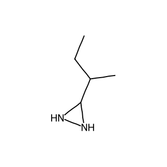 CCC(C)C1NN1